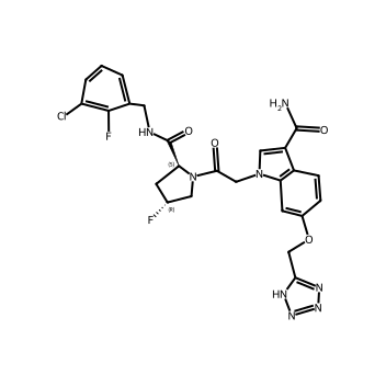 NC(=O)c1cn(CC(=O)N2C[C@H](F)C[C@H]2C(=O)NCc2cccc(Cl)c2F)c2cc(OCc3nnn[nH]3)ccc12